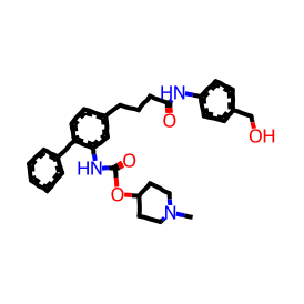 CN1CCC(OC(=O)Nc2cc(CCCC(=O)Nc3ccc(CO)cc3)ccc2-c2ccccc2)CC1